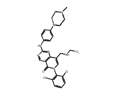 CN1CCN(c2ccc(Nc3ncc4c(=O)n(-c5c(Cl)cccc5Cl)cc(CNCC(F)(F)F)c4n3)cc2)CC1